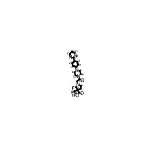 O=C(CN1CCC(C(=O)O)(C(F)(F)F)C1)N1CCN(c2ccc(-c3ncccn3)cc2)CC1